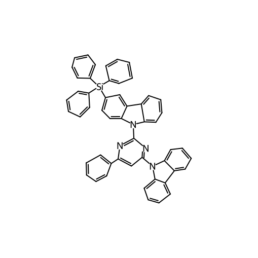 c1ccc(-c2cc(-n3c4ccccc4c4ccccc43)nc(-n3c4ccccc4c4cc([Si](c5ccccc5)(c5ccccc5)c5ccccc5)ccc43)n2)cc1